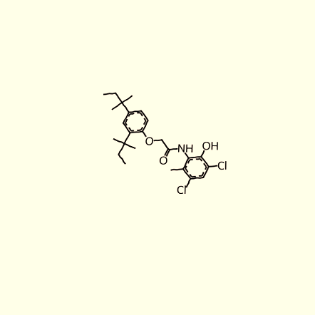 CCC(C)(C)c1ccc(OCC(=O)Nc2c(C)c(Cl)cc(Cl)c2O)c(C(C)(C)CC)c1